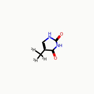 [2H]C([2H])([2H])c1c[nH]c(=O)[nH]c1=O